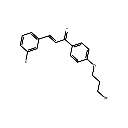 O=C(C=Cc1cccc(Br)c1)c1ccc(OCCCBr)cc1